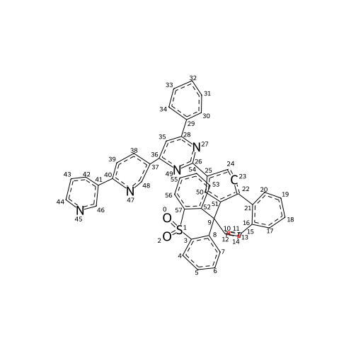 O=S1(=O)c2ccccc2C2(c3ccccc3-c3ccccc3-c3ccc(-c4nc(-c5ccccc5)cc(-c5ccc(-c6cccnc6)nc5)n4)cc32)c2ccccc21